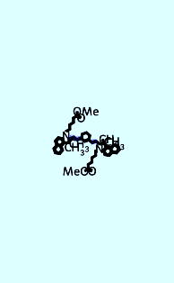 COC(=O)CCCCCN1/C(=C/C=C2C=C(/C=C/C3=[N+](CCCCCC(=O)OC)c4ccc5ccccc5c4C3(C)C)CCC/2)C(C)(C)c2c1ccc1ccccc21